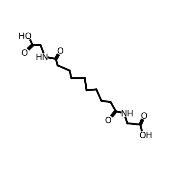 O=C(O)CNC(=O)CCCCCCCCC(=O)NCC(=O)O